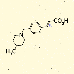 CC1CCN(Cc2ccc(/C=C/C(=O)O)cc2)CC1